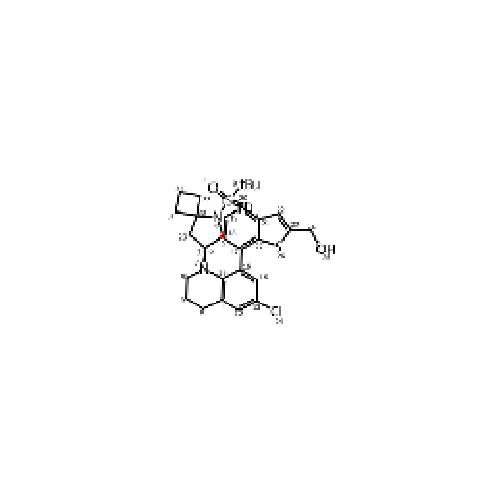 CC(C)(C)S(=O)(=O)N1C[C@@H](N2CCCc3cc(Cl)cc(-c4ccnc5cc(CO)sc45)c32)CC12CCC2